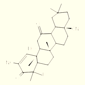 CC1(C)CC[C@]2(C#N)CC[C@]3(C)C(C(=O)C[C@@H]4[C@@]5(C)C=C(C#N)C(=O)C(C)(C)[C@@H]5CC[C@]43C)C2C1